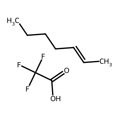 CC=CCCCC.O=C(O)C(F)(F)F